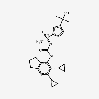 CC(C)(O)c1csc([S@](N)(=O)=NC(=O)Nc2c3c(nc(C4CC4)c2C2CC2)CCC3)c1